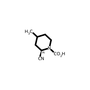 CC1CCN(C(=O)O)[C@@H](C#N)C1